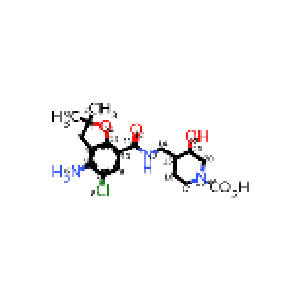 CC1(C)Cc2c(N)c(Cl)cc(C(=O)NCC3CCN(C(=O)O)CC3O)c2O1